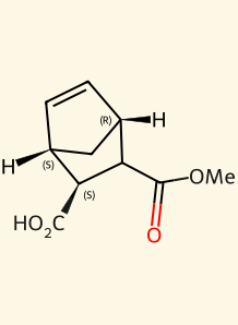 COC(=O)C1[C@@H](C(=O)O)[C@@H]2C=C[C@H]1C2